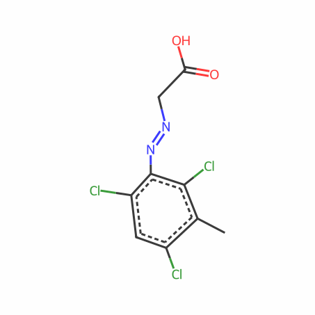 Cc1c(Cl)cc(Cl)c(N=NCC(=O)O)c1Cl